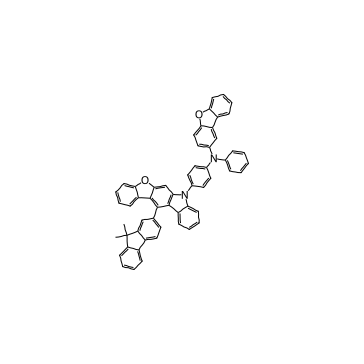 CC1(C)c2ccccc2-c2ccc(-c3c4c(cc5c3c3ccccc3n5-c3ccc(N(c5ccccc5)c5ccc6oc7ccccc7c6c5)cc3)oc3ccccc34)cc21